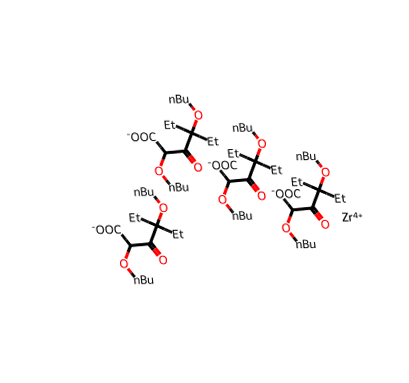 CCCCOC(C(=O)[O-])C(=O)C(CC)(CC)OCCCC.CCCCOC(C(=O)[O-])C(=O)C(CC)(CC)OCCCC.CCCCOC(C(=O)[O-])C(=O)C(CC)(CC)OCCCC.CCCCOC(C(=O)[O-])C(=O)C(CC)(CC)OCCCC.[Zr+4]